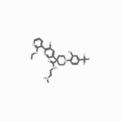 CCOc1ncccc1-c1ncc(C2(C(=O)NCCNC)CCN(c3ccc(C(F)(F)F)cc3Cl)CC2)cc1F